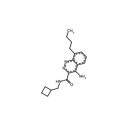 CCCCc1cccc2c(N)c(C(=O)NCC3CCC3)nnc12